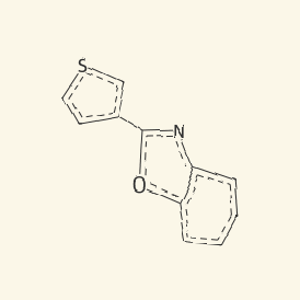 c1ccc2oc(-c3ccsc3)nc2c1